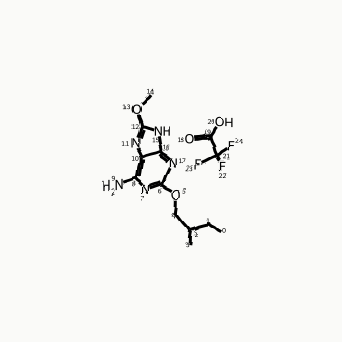 CCC(C)COc1nc(N)c2nc(OC)[nH]c2n1.O=C(O)C(F)(F)F